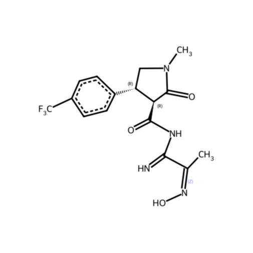 C/C(=N/O)C(=N)NC(=O)[C@@H]1C(=O)N(C)C[C@H]1c1ccc(C(F)(F)F)cc1